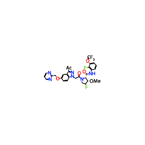 CO[C@H]1[C@@H](C(=O)Nc2cccc(OC(F)(F)F)c2F)N(C(=O)Cn2nc(C(C)=O)c3cc(OCc4ncccn4)ccc32)C[C@@H]1F